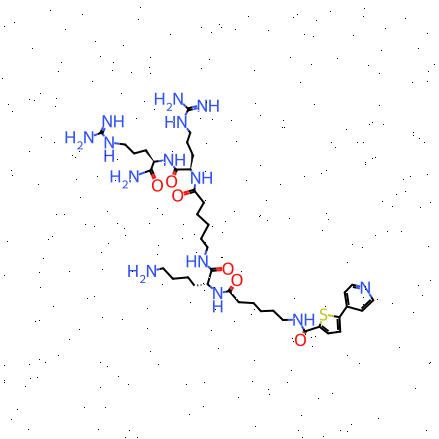 N=C(N)NCCC[C@@H](NC(=O)[C@@H](CCCNC(=N)N)NC(=O)CCCCCNC(=O)[C@@H](CCCCN)NC(=O)CCCCCNC(=O)c1ccc(-c2ccncc2)s1)C(N)=O